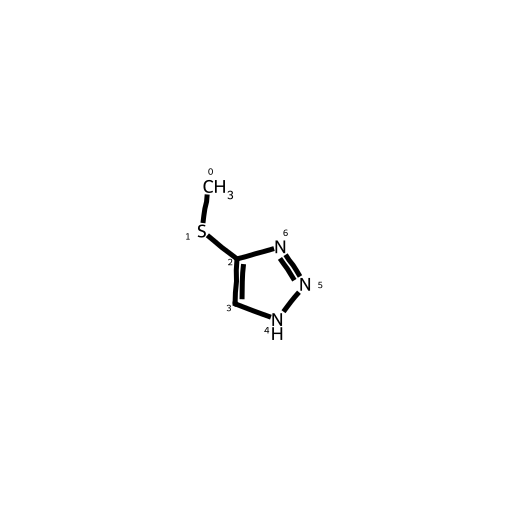 CSc1c[nH]nn1